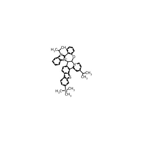 CC(C)c1cc[n+]2c(c1)-c1c(ccc3c1sc1cc([Si](C)(C)C)ccc13)C1C2Oc2ccccc2-c2n(C(C)C)c3ccccc3[n+]21